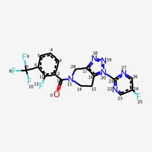 O=C(c1cccc(C(F)(F)F)c1F)N1CCc2c(nnn2-c2ncc(F)cn2)C1